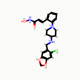 O=C(/C=C/c1ccccc1N1CCC(NCc2cc3c(cc2Cl)OCO3)CC1)NO